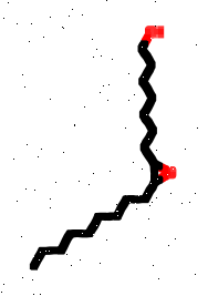 CCCCCCCCCC1OC1CCCCCCCO